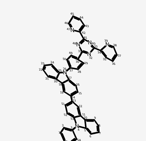 c1ccc(-n2c3ccccc3c3cc(-c4ccc5c(c4)c4ccccc4n5-c4ccc(-c5nc(-c6ccccn6)nc(-c6ccccn6)n5)cc4)ccc32)cc1